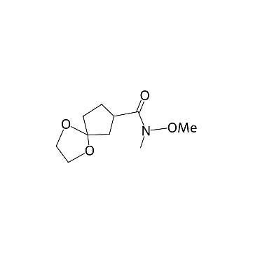 CON(C)C(=O)C1CCC2(C1)OCCO2